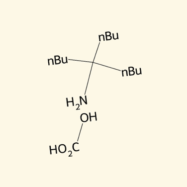 CCCCC(N)(CCCC)CCCC.O=C(O)O